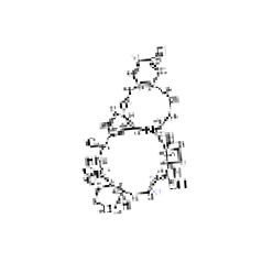 O=C1NS(=O)(=O)C2CCOC[C@H]2C/C=C/[C@H](O)[C@@H]2CC[C@H]2CN2CCCCc3cc(Cl)ccc3COc3ccc1cc32